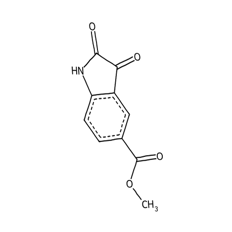 COC(=O)c1ccc2c(c1)C(=O)C(=O)N2